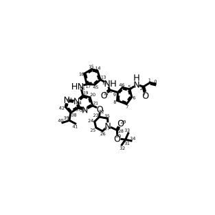 C=CC(=O)Nc1cccc(C(=O)Nc2cccc(Nc3cc(OC4CCCN(C(=O)OC(C)(C)C)C4)nc4c(C(C)C)cnn34)c2)c1